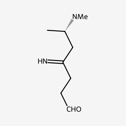 CN[C@@H](C)CC(=N)CCC=O